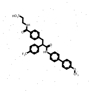 O=C(NCCS(=O)(=O)O)c1ccc(CC(C(=O)Nc2ccc(-c3ccc(OC(F)(F)F)cc3)cc2)c2ccc(C(F)(F)F)cc2)cc1